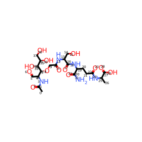 CC(=O)N[C@@H](C=O)[C@@H](OCC(=O)NC(CO)C(=O)NC(CCC(=O)NC(C)C(=O)O)C(N)=O)[C@H](O)[C@H](O)CO